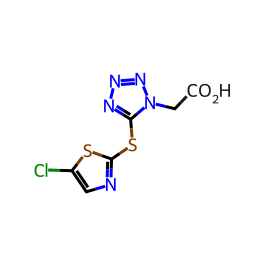 O=C(O)Cn1nnnc1Sc1ncc(Cl)s1